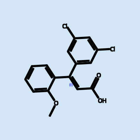 COc1ccccc1/C(=C/C(=O)O)c1cc(Cl)cc(Cl)c1